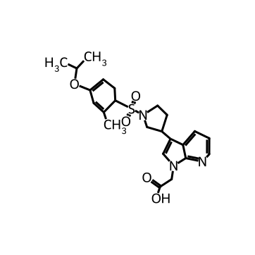 CC1=CC(OC(C)C)=CCC1S(=O)(=O)N1CCC(c2cn(CC(=O)O)c3ncccc23)C1